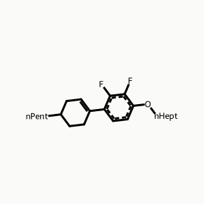 CCCCCCCOc1ccc(C2=CCC(CCCCC)CC2)c(F)c1F